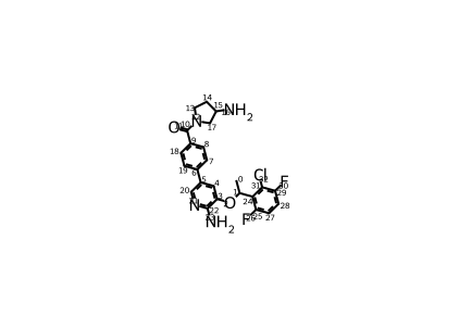 CC(Oc1cc(-c2ccc(C(=O)N3CCC(N)C3)cc2)cnc1N)c1c(F)ccc(F)c1Cl